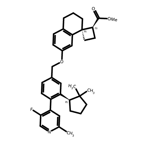 COC(=O)[C@H]1CC[C@]12CCCc1ccc(OCc3ccc(-c4cc(C)ncc4F)c([C@@H]4CCCC4(C)C)c3)cc12